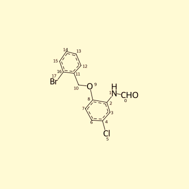 O=CNc1cc(Cl)ccc1OCc1ccccc1Br